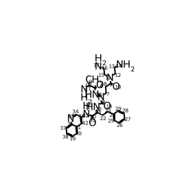 C[C@H](N)C(=O)NN(CCC(=O)N(CCN)CCN)C(=O)N[C@@H](CCc1ccccc1)C(=O)Nc1cnc2ccccc2c1